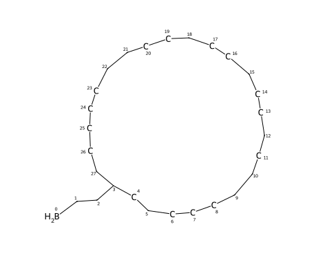 BCCC1CCCCCCCCCCCCCCCCCCCCCCCC1